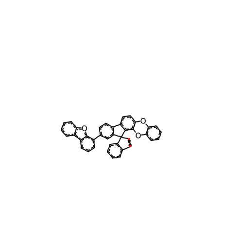 c1ccc2c(c1)Oc1ccc3c(c1O2)C1(c2ccccc2-c2ccccc21)c1cc(-c2cccc4c2oc2ccccc24)ccc1-3